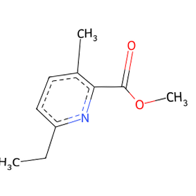 CCc1ccc(C)c(C(=O)OC)n1